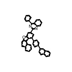 c1ccc(-c2nc(-c3cc(-c4ccc(-c5ccc6ccccc6c5)cc4)c4c(c3)oc3ccc5ccccc5c34)nc3ccccc23)cc1